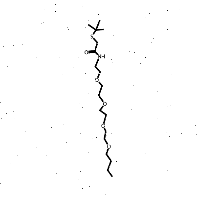 CCCCOCCOCCOCCOCCNC(=O)CSC(C)(C)C